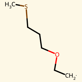 [CH2]COCCCSC